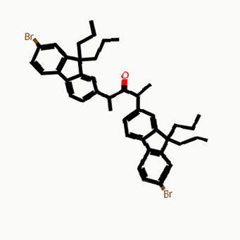 CCCC1(CCC)c2cc(Br)ccc2-c2ccc(C(C)C(=O)C(C)c3ccc4c(c3)C(CCC)(CCC)c3cc(Br)ccc3-4)cc21